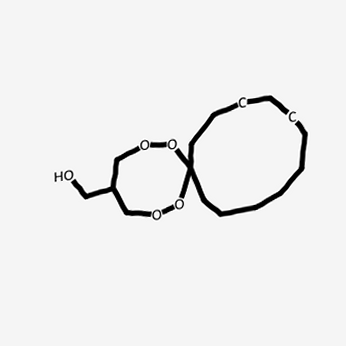 OCC1COOC2(CCCCCCCCCCC2)OOC1